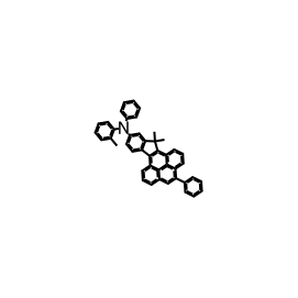 Cc1ccccc1N(c1ccccc1)c1ccc2c(c1)C(C)(C)c1c-2c2cccc3cc(-c4ccccc4)c4cccc1c4c32